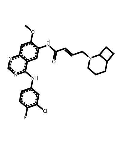 COc1cc2ncnc(Nc3ccc(F)c(Cl)c3)c2cc1NC(=O)C=CCN1CCCC2CCC21